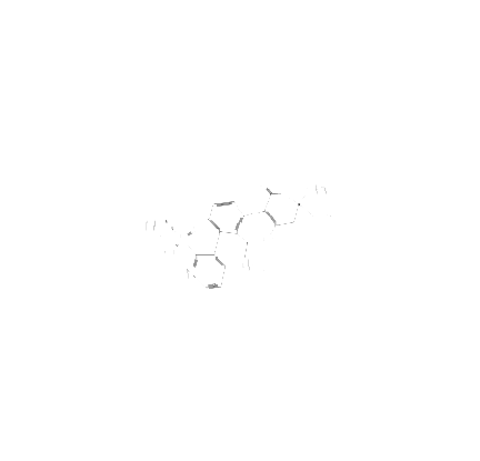 CCCC1(CCC)CC(O)=C(c2cccc(-c3cccnc3S(N)(=O)=O)c2CC(C)(C)C)C(=O)O1